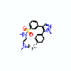 CN(C)CCNS(=O)(=O)c1cccc(-c2cnn(C)c2C2=CC=C(C(F)(F)F)CC2)c1